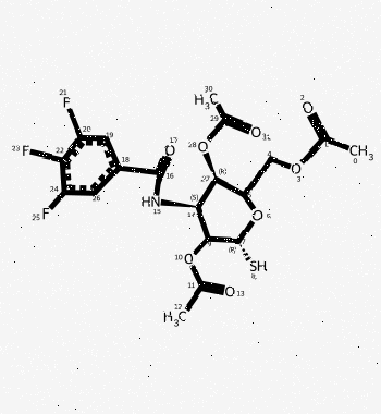 CC(=O)OCC1O[C@H](S)C(OC(C)=O)[C@@H](NC(=O)c2cc(F)c(F)c(F)c2)[C@H]1OC(C)=O